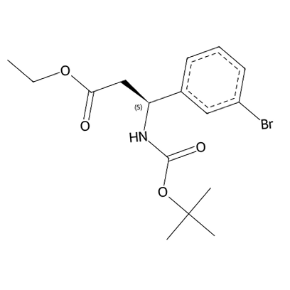 CCOC(=O)C[C@H](NC(=O)OC(C)(C)C)c1cccc(Br)c1